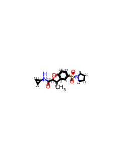 CC1c2cc(S(=O)(=O)N3CCCC3)ccc2OC1C(=O)NC1CC1